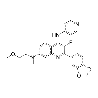 COCCNc1ccc2c(Nc3ccncc3)c(F)c(-c3ccc4c(c3)OCO4)nc2c1